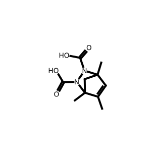 CC1=CC2(C)CC1(C)N(C(=O)O)N2C(=O)O